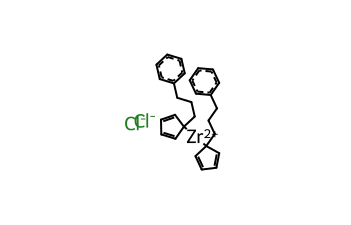 C1=C[C](CCCc2ccccc2)([Zr+2][C]2(CCCc3ccccc3)C=CC=C2)C=C1.[Cl-].[Cl-]